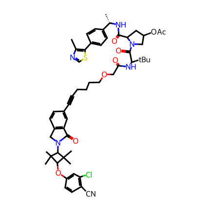 CC(=O)OC1CC(C(=O)N[C@@H](C)c2ccc(-c3scnc3C)cc2)N(C(=O)C(NC(=O)COCCCCC#Cc2ccc3c(c2)C(=O)N(C2C(C)(C)C(Oc4ccc(C#N)c(Cl)c4)C2(C)C)C3)C(C)(C)C)C1